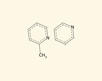 Cc1ccc[c]n1.[c]1cccnc1